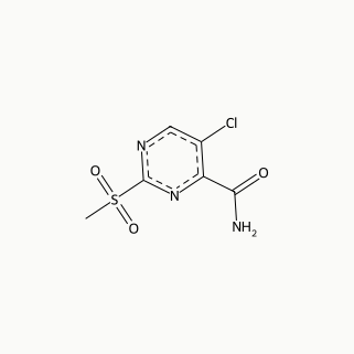 CS(=O)(=O)c1ncc(Cl)c(C(N)=O)n1